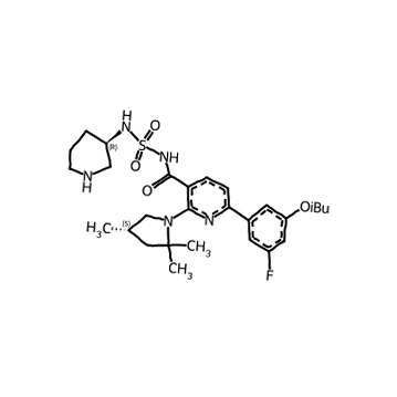 CC(C)COc1cc(F)cc(-c2ccc(C(=O)NS(=O)(=O)N[C@@H]3CCCNC3)c(N3C[C@@H](C)CC3(C)C)n2)c1